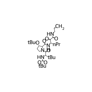 C=CCNC(=O)C(=O)C(CCC)NC(=O)C1[C@@H](OC(C)(C)C)CCN1C(=O)C(NC(=O)OC(C)(C)C)C(C)(C)C